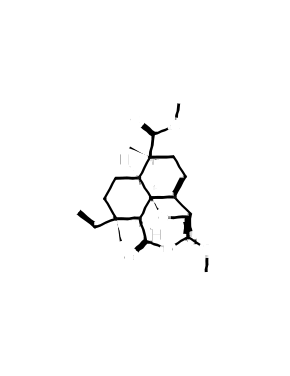 C=C[C@]1(C)CC[C@@H]2[C@]3(OC=O)C(=CC[C@@]2(C)C(=O)OC)C=C(OC)OC(=O)[C@H]31